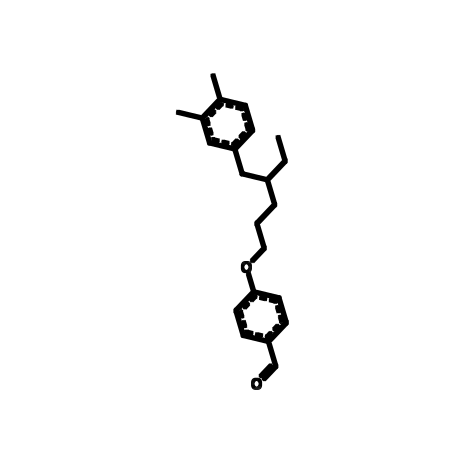 CCC(CCCOc1ccc(C=O)cc1)Cc1ccc(C)c(C)c1